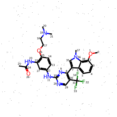 COc1cccc2c(-c3nc(Nc4ccc(OCCN(C)C)c(NC(C)=O)c4)ncc3C(F)(F)F)cn(C)c12